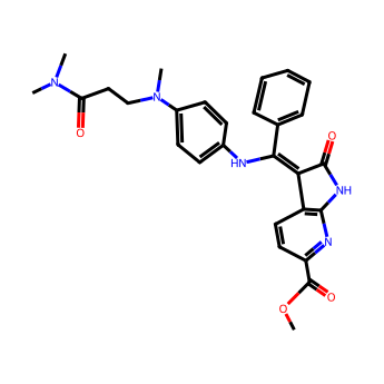 COC(=O)c1ccc2c(n1)NC(=O)C2=C(Nc1ccc(N(C)CCC(=O)N(C)C)cc1)c1ccccc1